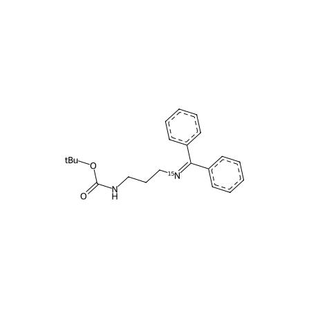 CC(C)(C)OC(=O)NCCC[15N]=C(c1ccccc1)c1ccccc1